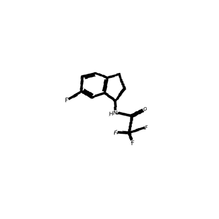 O=C(NC1CCc2ccc(F)cc21)C(F)(F)F